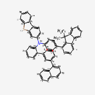 CC1(C)c2ccccc2-c2cccc(-c3ccc(N(c4ccc5c(c4)sc4ccccc45)c4ccccc4-c4cccc(-c5cccc6ccccc56)c4)cc3)c21